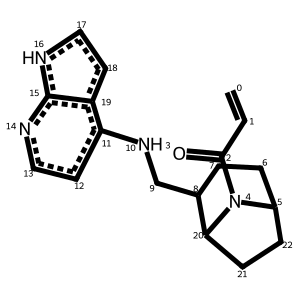 C=CC(=O)N1C2CCC(CNc3ccnc4[nH]ccc34)C1CC2